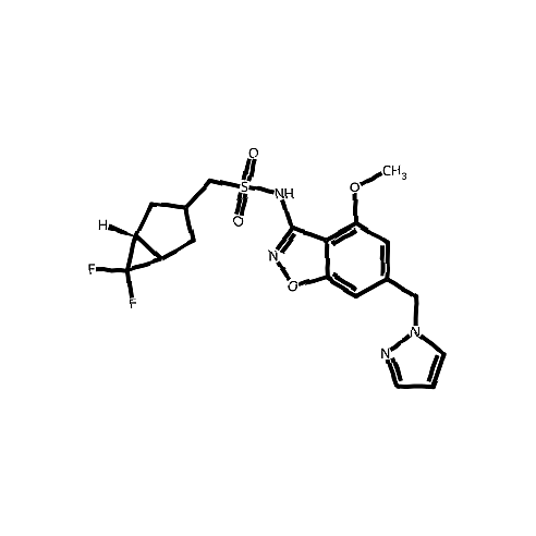 COc1cc(Cn2cccn2)cc2onc(NS(=O)(=O)CC3CC4[C@@H](C3)C4(F)F)c12